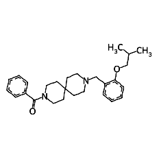 CC(C)COc1ccccc1CN1CCC2(CC1)CCN(C(=O)c1ccccc1)CC2